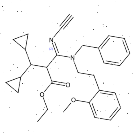 C#C/N=C(/C(C(=O)OCC)C(C1CC1)C1CC1)N(CCc1ccccc1OC)Cc1ccccc1